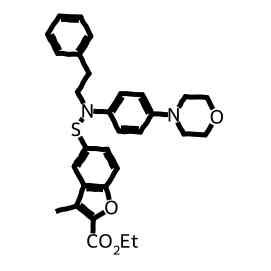 CCOC(=O)c1oc2ccc(SN(CCc3ccccc3)c3ccc(N4CCOCC4)cc3)cc2c1C